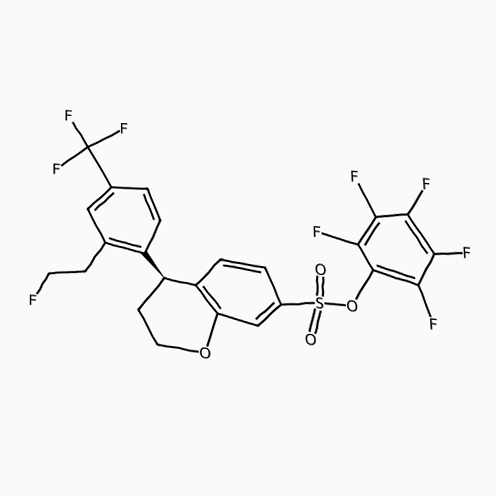 O=S(=O)(Oc1c(F)c(F)c(F)c(F)c1F)c1ccc2c(c1)OCC[C@H]2c1ccc(C(F)(F)F)cc1CCF